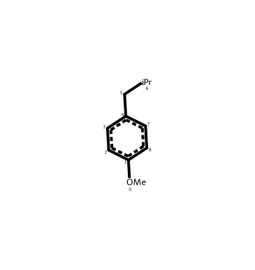 [CH2]Oc1ccc(CC(C)C)cc1